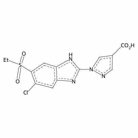 CCS(=O)(=O)c1cc2[nH]c(-n3cc(C(=O)O)cn3)nc2cc1Cl